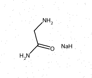 NCC(N)=O.[NaH]